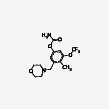 Cc1c(CN2CCOCC2)cc(OC(N)=O)cc1OC(F)(F)F